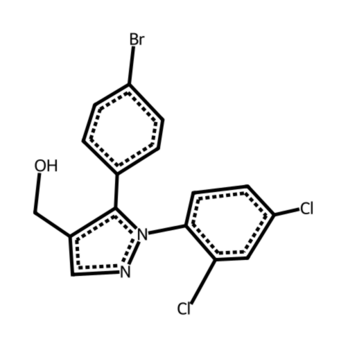 OCc1cnn(-c2ccc(Cl)cc2Cl)c1-c1ccc(Br)cc1